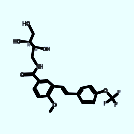 COc1ccc(C(=O)NC[C@H](O)[C@@H](O)CO)cc1C=Cc1ccc(OC(F)(F)F)cc1